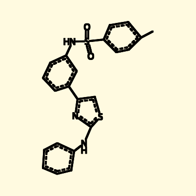 Cc1ccc(S(=O)(=O)Nc2cccc(-c3csc(Nc4ccccc4)n3)c2)cc1